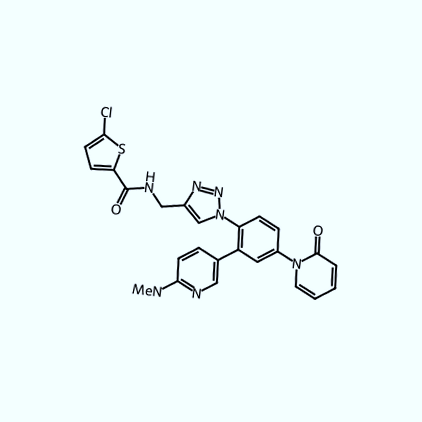 CNc1ccc(-c2cc(-n3ccccc3=O)ccc2-n2cc(CNC(=O)c3ccc(Cl)s3)nn2)cn1